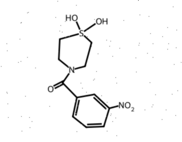 O=C(c1cccc([N+](=O)[O-])c1)N1CCS(O)(O)CC1